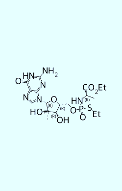 CCOC(=O)[C@@H](C)NP(=O)(OC[C@H]1O[C@@H](n2cnc3c(=O)[nH]c(N)nc32)[C@](C)(O)[C@@H]1O)SCC